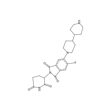 O=C1CCC(N2C(=O)c3cc(F)c(N4CCC(C5CCNCC5)CC4)cc3C2=O)C(=O)N1